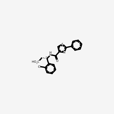 O=C(O)C[C@H](NC(=O)c1csc(-c2ccccc2)n1)c1ccccc1Cl